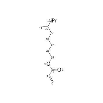 C=CC(=O)OCCCCCC(C)C(C)C